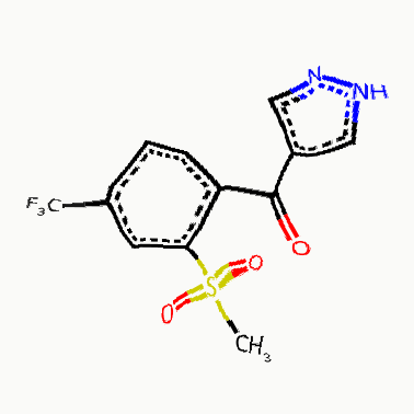 CS(=O)(=O)c1cc(C(F)(F)F)ccc1C(=O)c1cn[nH]c1